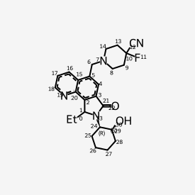 CCC1c2c(cc(CN3CCC(F)(C#N)CC3)c3cccnc23)C(=O)N1[C@@H]1CCCC[C@@H]1O